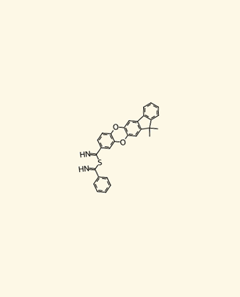 CC1(C)c2ccccc2-c2cc3c(cc21)Oc1cc(C(=N)SC(=N)c2ccccc2)ccc1O3